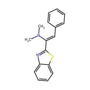 CN(C)C(=Cc1ccccc1)c1nc2ccccc2s1